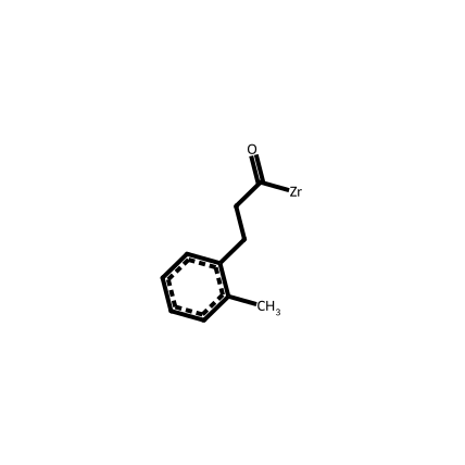 Cc1ccccc1CC[C](=O)[Zr]